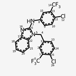 FC(F)(F)c1cc(Cn2c(Nc3ccc(Cl)c(C(F)(F)F)c3)nc3ccccc32)ccc1Cl